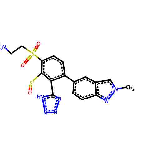 Cn1cc2cc(-c3ccc(S(=O)(=O)CCN)c([S+]=O)c3-c3nnn[nH]3)ccc2n1